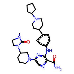 CN1CCN(C2CCCN(c3cnc(C(N)=O)c(Nc4ccc(C5CCN(C6CCCC6)CC5)cc4)n3)C2)C1=O